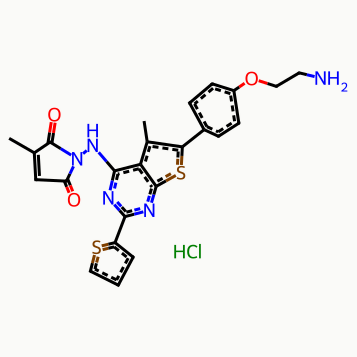 CC1=CC(=O)N(Nc2nc(-c3cccs3)nc3sc(-c4ccc(OCCN)cc4)c(C)c23)C1=O.Cl